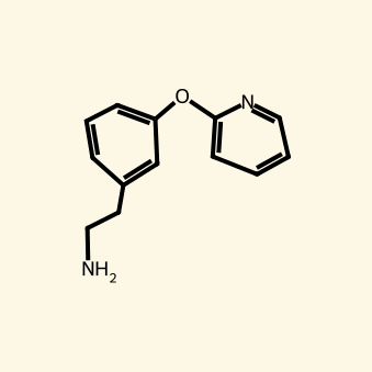 NCCc1cccc(Oc2ccccn2)c1